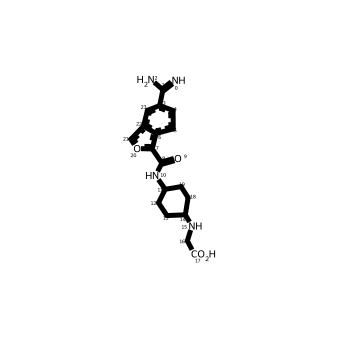 N=C(N)c1ccc2c(C(=O)NC3CCC(NCC(=O)O)CC3)occ2c1